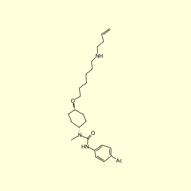 C=CCCNCCCCCCO[C@H]1CC[C@H](N(C)C(=O)Nc2ccc(C(C)=O)cc2)CC1